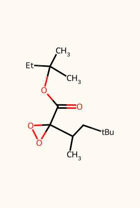 CCC(C)(C)OC(=O)C1(C(C)CC(C)(C)C)OO1